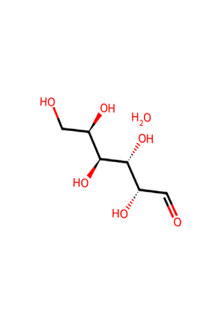 O.O=C[C@H](O)[C@@H](O)[C@@H](O)[C@H](O)CO